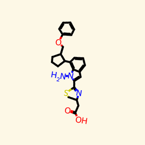 Nn1c(C2=NC(CC(=O)O)CS2)cc2cccc(C3CCCC3COc3ccccc3)c21